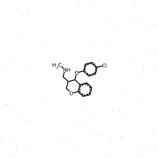 CNCC1COc2ccccc2C1Oc1ccc(Cl)cc1